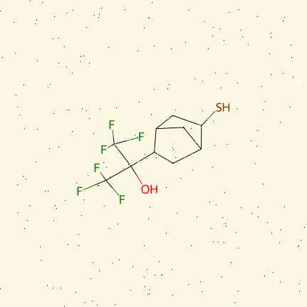 OC(C1CC2CC1CC2S)(C(F)(F)F)C(F)(F)F